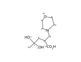 CC(O)(O)CC(CN1CCOCC1)C(=O)O